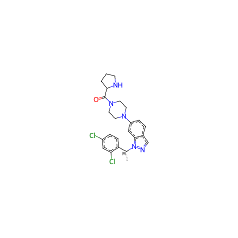 C[C@H](c1ccc(Cl)cc1Cl)n1ncc2ccc(N3CCN(C(=O)C4CCCN4)CC3)cc21